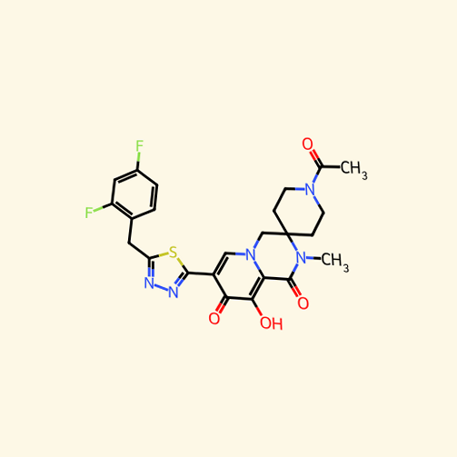 CC(=O)N1CCC2(CC1)Cn1cc(-c3nnc(Cc4ccc(F)cc4F)s3)c(=O)c(O)c1C(=O)N2C